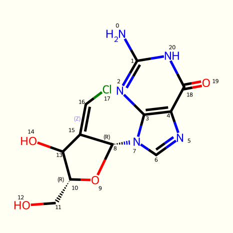 Nc1nc2c(ncn2[C@@H]2O[C@H](CO)C(O)/C2=C/Cl)c(=O)[nH]1